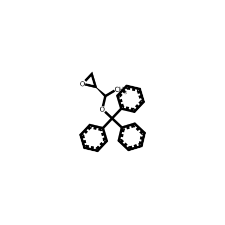 CC(OC(c1ccccc1)(c1ccccc1)c1ccccc1)[C@@H]1CO1